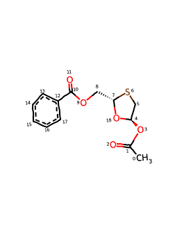 CC(=O)O[C@@H]1CS[C@@H](COC(=O)c2ccccc2)O1